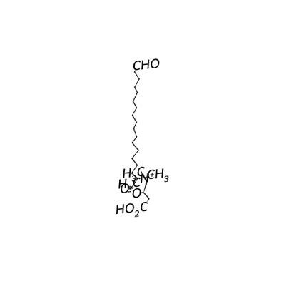 C[N+](C)(C)C[C@@H](CC(=O)O)OC(=O)CCCCCCCCCCCCCCCCC=O